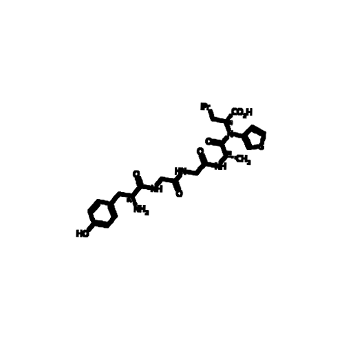 CC(C)C[C@@H](C(=O)O)N(C(=O)[C@H](C)NC(=O)CNC(=O)CNC(=O)[C@@H](N)Cc1ccc(O)cc1)c1ccsc1